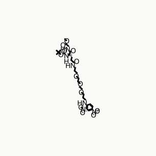 COC(=O)CNC(=O)[C@H](CCC(=O)NCCCOCCOCCOCCCNc1ccc([N+](=O)[O-])cc1[N+](=O)[O-])NC(=O)OC(C)(C)C